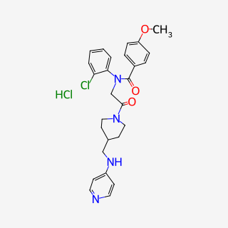 COc1ccc(C(=O)N(CC(=O)N2CCC(CNc3ccncc3)CC2)c2ccccc2Cl)cc1.Cl